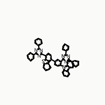 c1ccc(-c2nc(-c3ccccc3)nc(-c3cc(-c4ccc(-c5nc(-c6ccccc6)nc(-c6ccccc6)n5)c5sc6ccccc6c45)ccc3-n3c4ccccc4c4ccccc43)n2)cc1